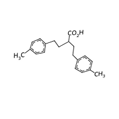 Cc1ccc(CCC(CCc2ccc(C)cc2)C(=O)O)cc1